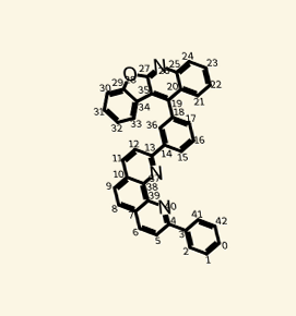 c1ccc(-c2ccc3ccc4ccc(-c5cccc(-c6c7ccccc7nc7oc8ccccc8c67)c5)nc4c3n2)cc1